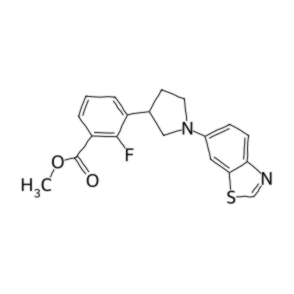 COC(=O)c1cccc(C2CCN(c3ccc4ncsc4c3)C2)c1F